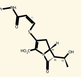 CC(C)NC(=O)/C=C\SC1=C(C(=O)O)N2C(=O)[C@@H]([C@H](C)O)[C@H]2C1